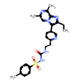 CCc1nc2c(C)nc(C)cn2c1-c1ccc(CCNC(=O)NS(=O)(=O)c2ccc(C)cc2)nc1